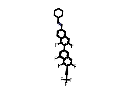 Fc1cc2cc(-c3c(F)cc4cc(/C=C/C5CCCCC5)ccc4c3F)cc(F)c2c(F)c1C#CC(F)(F)F